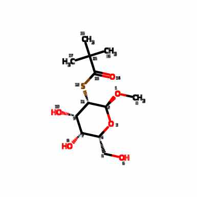 CO[C@H]1O[C@H](CO)[C@H](O)[C@H](O)[C@@H]1SC(=O)C(C)(C)C